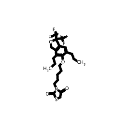 CCCc1cc2c(c(CCC)c1OCCCCCN1C(=O)CSC1=O)COC2(C(F)(F)F)C(F)(F)F